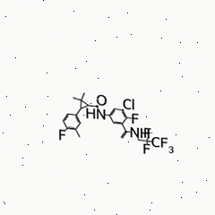 C=C(NCC(F)(F)C(F)(F)F)c1cc(NC(=O)C2C(c3ccc(F)c(C)c3)C2(C)C)cc(Cl)c1F